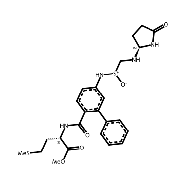 COC(=O)[C@H](CCSC)NC(=O)c1ccc(N[S+]([O-])CN[C@H]2CCC(=O)N2)cc1-c1ccccc1